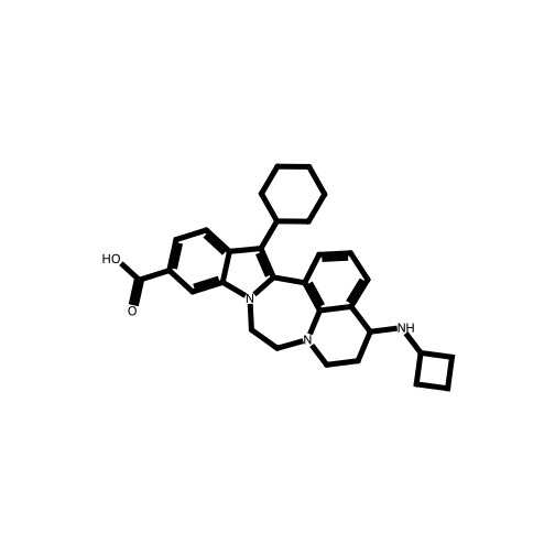 O=C(O)c1ccc2c(C3CCCCC3)c3n(c2c1)CCN1CCC(NC2CCC2)c2cccc-3c21